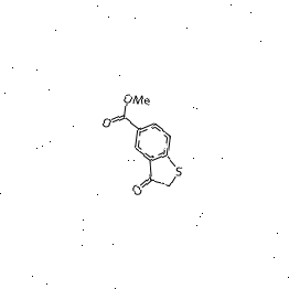 COC(=O)c1ccc2c(c1)C(=O)CS2